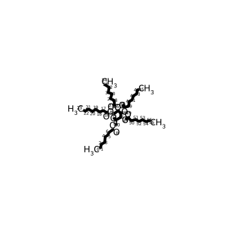 CCCCCCCC(=O)OC[C@H]1OC(OC(=O)CCCCCCC)[C@H](OC(=O)CCCCCCC)[C@@H](OC(=O)CCCCCCC)[C@@H]1OC(=O)CCCCCCC